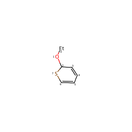 CCOC1C=CC=CS1